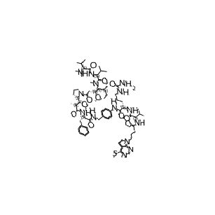 CC[C@H](C)[C@@H]([C@@H](CC(=O)N1CCC[C@H]1[C@H](OC)[C@@H](C)C(=O)N[C@@H](Cc1ccccc1)C(=O)NCc1ccc(NC(=O)[C@H](CCCNC(N)=O)NC(=O)[C@@H](NC(=O)CCCn2ccc3c(SC)ncnc32)C(C)C)cc1)OC)N(C)C(=O)[C@@H](NC(=O)[C@H](C(C)C)N(C)C)C(C)C